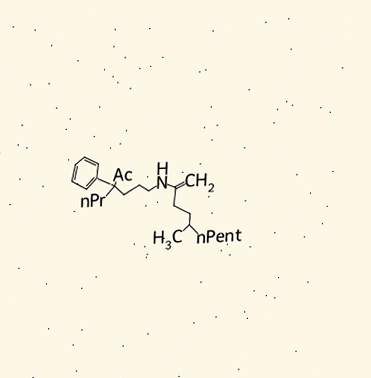 C=C(CCC(C)CCCCC)NCCCC(CCC)(C(C)=O)c1ccccc1